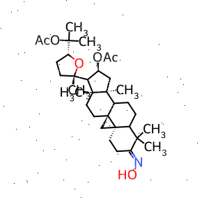 CC(=O)O[C@H]1C[C@@]2(C)C3CCC4C(C)(C)/C(=N/O)CC[C@@]45C[C@@]35CC[C@]2(C)C1[C@]1(C)CC[C@H](C(C)(C)OC(C)=O)O1